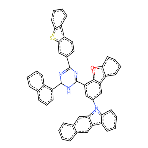 c1ccc2cc3c(cc2c1)c1ccccc1n3-c1cc(C2=NC(c3ccc4c(c3)sc3ccccc34)=NC(c3cccc4ccccc34)N2)c2oc3ccccc3c2c1